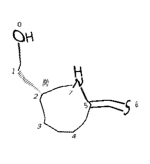 OC[C@H]1CCC(=S)N1